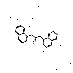 O=C(Cc1cccc2ccccc12)Cc1cccc2ccccc12